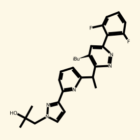 CC[C@H](C)c1cc(-c2c(F)cccc2F)nnc1C(C)c1cccc(-c2ccn(CC(C)(C)O)n2)n1